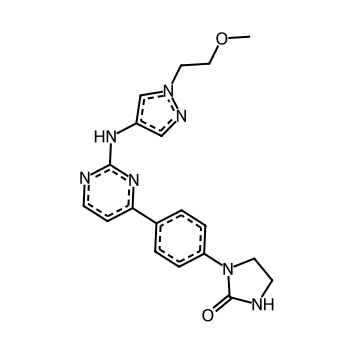 COCCn1cc(Nc2nccc(-c3ccc(N4CCNC4=O)cc3)n2)cn1